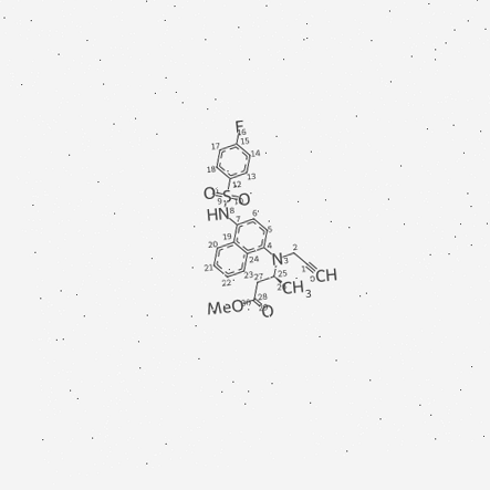 C#CCN(c1ccc(NS(=O)(=O)c2ccc(F)cc2)c2ccccc12)[C@@H](C)CC(=O)OC